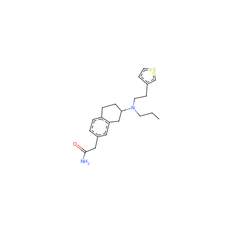 CCCN(CCc1ccsc1)C1CCc2ccc(CC(N)=O)cc2C1